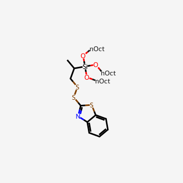 CCCCCCCCO[Si](OCCCCCCCC)(OCCCCCCCC)C(C)CSSc1nc2ccccc2s1